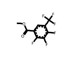 COC(=O)c1cc(C(F)(F)F)c(F)c(F)c1F